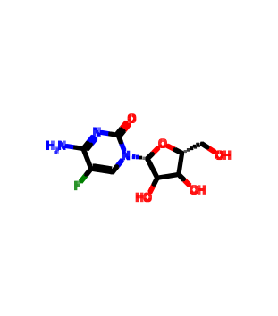 Nc1nc(=O)n([C@@H]2O[C@H](CO)C(O)C2O)cc1F